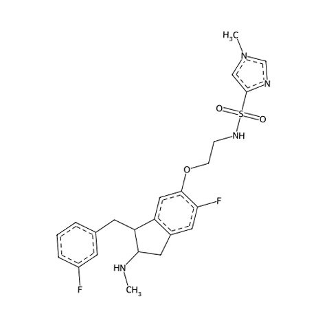 CNC1Cc2cc(F)c(OCCNS(=O)(=O)c3cn(C)cn3)cc2C1Cc1cccc(F)c1